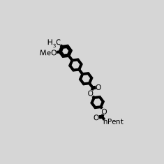 [CH2+][CH-]CCCC(=O)OC1CCC(OC(=O)C2CCC(C3CCC(c4ccc(C)c(OC)c4)CC3)CC2)CC1